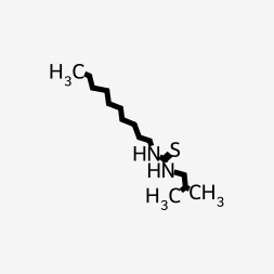 CCCCCCCCCCNC(=S)NCC(C)C